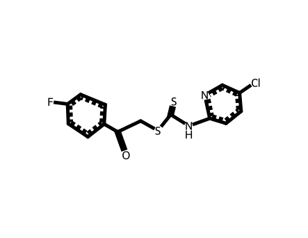 O=C(CSC(=S)Nc1ccc(Cl)cn1)c1ccc(F)cc1